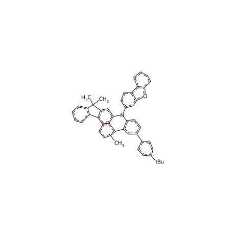 Cc1ccccc1-c1cc(-c2ccc(C(C)(C)C)cc2)ccc1N(c1ccc2c(c1)C(C)(C)c1ccccc1-2)c1ccc2c(c1)oc1ccccc12